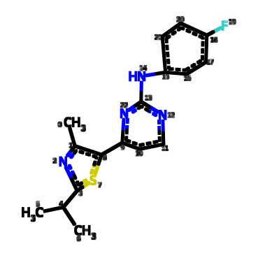 Cc1nc(C(C)C)sc1-c1ccnc(Nc2ccc(F)cc2)n1